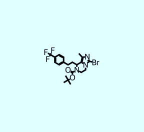 Cc1nc(Br)n2c1C(CCc1ccc(C(F)(F)F)cc1)N(C(=O)OC(C)(C)C)CC2